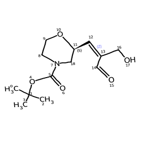 CC(C)(C)OC(=O)N1CCO[C@@H](/C=C(\C=O)CO)C1